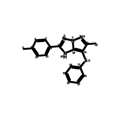 Cc1ccc(-c2nn3nc(C)c(Sc4ccccc4)c3[nH]2)cc1